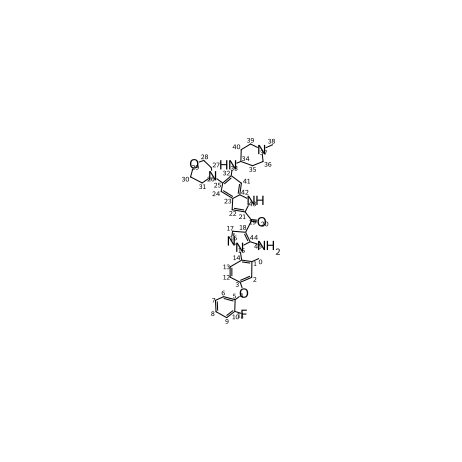 Cc1cc(Oc2ccccc2F)ccc1-n1ncc(C(=O)c2cc3cc(N4CCOCC4)c(NC4CCN(C)CC4)cc3[nH]2)c1N